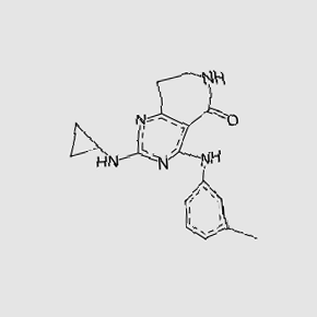 Cc1cccc(Nc2nc(NC3CC3)nc3c2C(=O)NCC3)c1